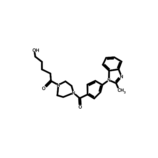 Cc1nc2ccccc2n1-c1ccc(C(=O)N2CCN(C(=O)CCCCO)CC2)cc1